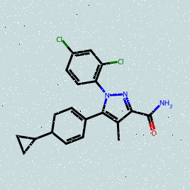 Cc1c(C(N)=O)nn(-c2ccc(Cl)cc2Cl)c1C1=CCC(C2CC2)C=C1